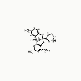 COc1ccccc1CC(N)(Cc1ccccc1OC)C1CNCCO1.Cl.Cl